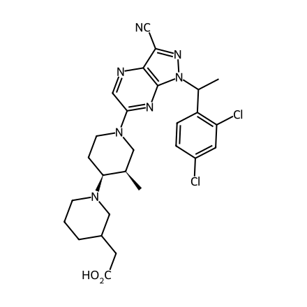 CC(c1ccc(Cl)cc1Cl)n1nc(C#N)c2ncc(N3CC[C@H](N4CCCC(CC(=O)O)C4)[C@H](C)C3)nc21